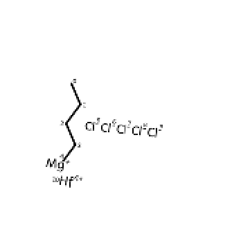 CCC[CH2][Mg+].[Cl-].[Cl-].[Cl-].[Cl-].[Cl-].[Hf+4]